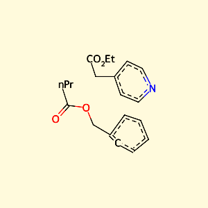 CCCC(=O)OCc1ccccc1.CCOC(=O)Cc1ccncc1